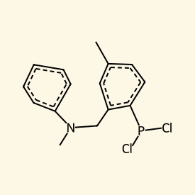 Cc1ccc(P(Cl)Cl)c(CN(C)c2ccccc2)c1